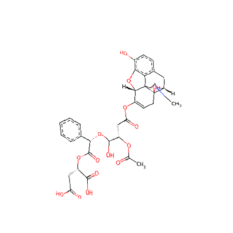 CC(=O)O[C@@H](CC(=O)OC1=CC[C@@]2(O)[C@H]3Cc4ccc(O)c5c4C2(CCN3C)[C@H]1O5)C(O)O[C@H](C(=O)O[C@@H](CC(=O)O)C(=O)O)c1ccccc1